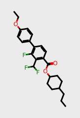 CCCC1CCC(OC(=O)c2ccc(-c3ccc(OCC)cc3)c(F)c2C(F)F)CC1